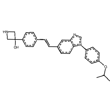 CC(C)Oc1ccc(-n2cnc3cc(C=Cc4ccc(C5(O)CNC5)cc4)ccc32)cc1